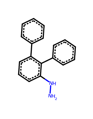 NNc1cccc(-c2ccccc2)c1-c1ccccc1